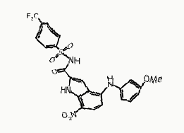 COc1cccc(Nc2ccc([N+](=O)[O-])c3[nH]c(C(=O)NS(=O)(=O)c4ccc(C(F)(F)F)cc4)cc23)c1